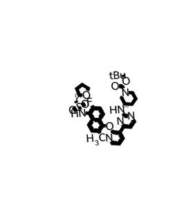 Cc1ccc2c(NS(=O)(=O)C[C@@H]3CCCO3)c(F)ccc2c1Oc1ncccc1-c1ccnc(N[C@H]2CCCN(C(=O)OC(C)(C)C)C2)n1